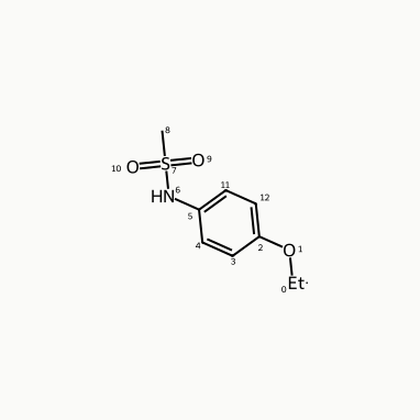 C[CH]Oc1ccc(NS(C)(=O)=O)cc1